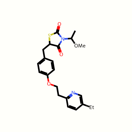 CCc1ccc(CCOc2ccc(CC3SC(=O)N(C(C)OC)C3=O)cc2)nc1